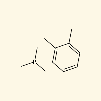 CP(C)C.Cc1ccccc1C